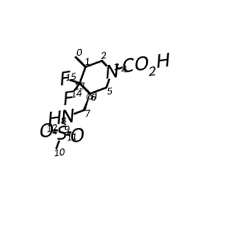 CC1CN(C(=O)O)C[C@@H](CNS(C)(=O)=O)C1(F)F